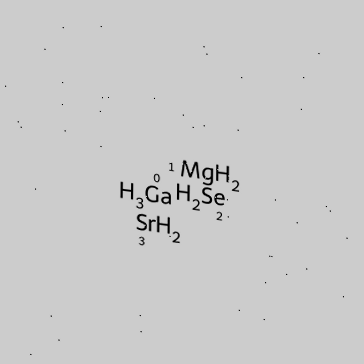 [GaH3].[MgH2].[SeH2].[SrH2]